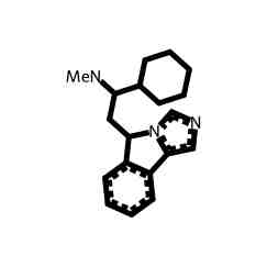 CNC(CC1c2ccccc2-c2cncn21)C1CCCCC1